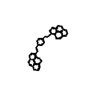 C(=Cc1ccc2ccc3cccc4ccc1c2c34)c1ccc(C=Cc2ccc3ccc4cccc5ccc2c3c45)cc1